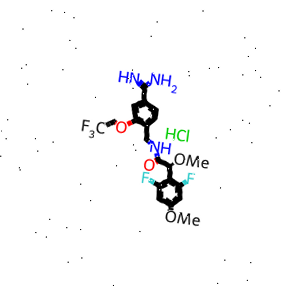 COc1cc(F)c([C@H](OC)C(=O)NCc2ccc(C(=N)N)cc2OCC(F)(F)F)c(F)c1.Cl